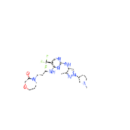 Cc1nn(C2CCN(C)C2)cc1Nc1ncc(C(F)(F)F)c(NCCCN2CCCOCC2=O)n1